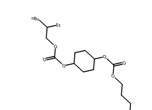 CCCCC(CC)COC(=O)OC1CCC(OC(=O)OCCCC(C)C)CC1